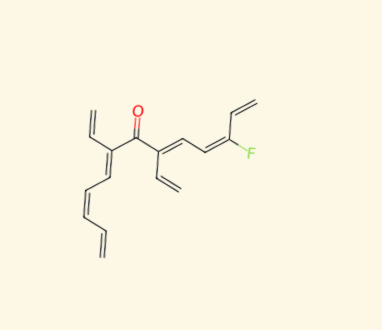 C=C/C=C\C=C(/C=C)C(=O)/C(C=C)=C/C=C(/F)C=C